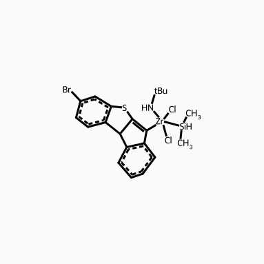 C[SiH](C)[Zr]([Cl])([Cl])([NH]C(C)(C)C)[C]1=C2Sc3cc(Br)ccc3C2c2ccccc21